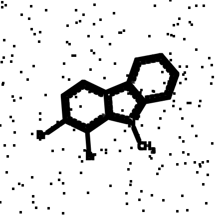 Cn1c2ccccc2c2ccc(Br)c(Br)c21